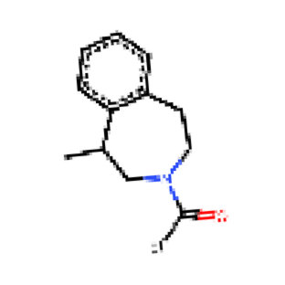 CCC(=O)N1CCc2ccccc2C(C)C1